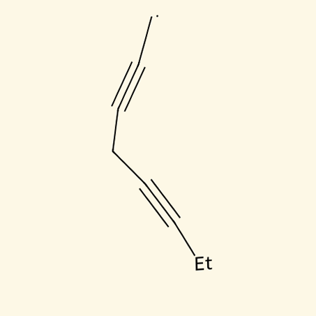 [CH2]C#CCC#CCC